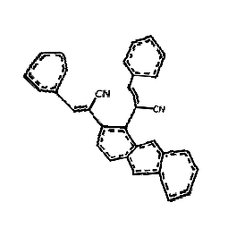 N#CC(=Cc1ccccc1)c1ccc2cc3ccccc3cc2c1C(C#N)=Cc1ccccc1